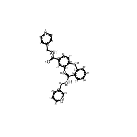 O=C(NCc1ccncc1)c1ccc2c(c1)N=C(NCc1cccnc1)c1ccccc1S2